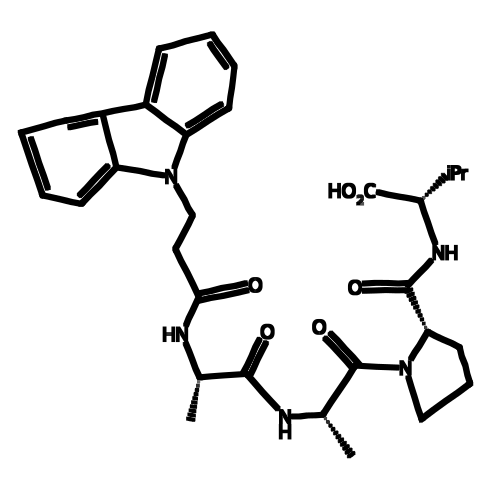 CC(C)[C@H](NC(=O)[C@@H]1CCCN1C(=O)[C@H](C)NC(=O)[C@H](C)NC(=O)CCn1c2ccccc2c2ccccc21)C(=O)O